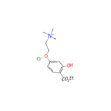 CCOC(=O)c1ccc(OCC[N+](C)(C)C)cc1O.[Cl-]